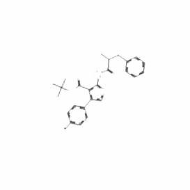 CC(Cc1ccccc1)C(=O)Nc1scc(-c2ccc(Cl)cc2)c1C(=O)OC(C)(C)C